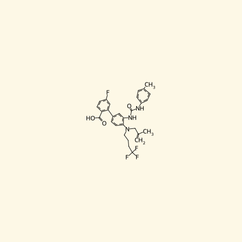 C=C(C)CN(CCCC(F)(F)F)c1ccc(-c2cc(F)ccc2C(=O)O)cc1NC(=O)Nc1ccc(C)cc1